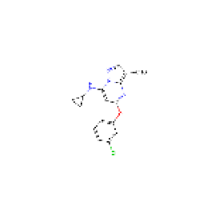 O=Cc1cnn2c(NC3CC3)cc(Oc3cccc(Cl)c3)nc12